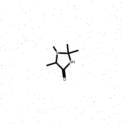 CC1C(=O)NC(C)(C)N1C